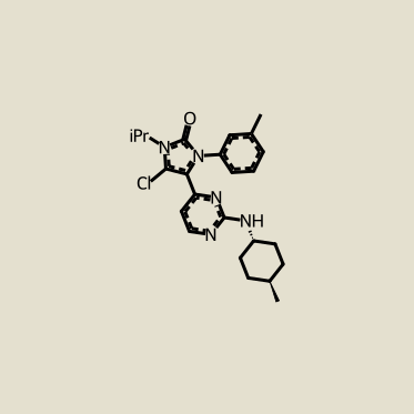 Cc1cccc(-n2c(-c3ccnc(N[C@H]4CC[C@H](C)CC4)n3)c(Cl)n(C(C)C)c2=O)c1